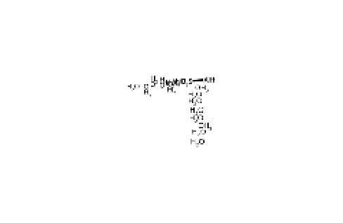 O.O.O.O.O.O.O.O.O.O.O.O.O.O.O.O=[S](=O)(O)[AlH]